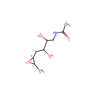 CC(=O)NCC(O)C(O)CC1OC1C